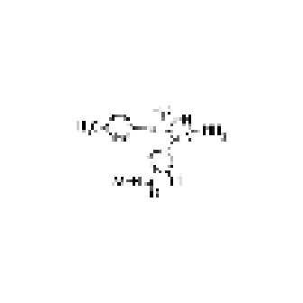 CNC(=O)c1ccc(-c2nc(N)nc(C)c2C#Cc2ccc(C)nc2)cc1Cl